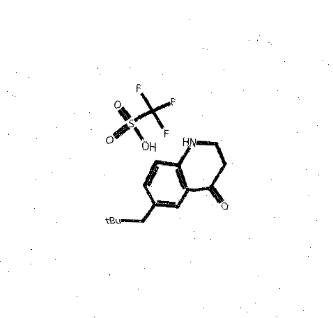 CC(C)(C)Cc1ccc2c(c1)C(=O)CCN2.O=S(=O)(O)C(F)(F)F